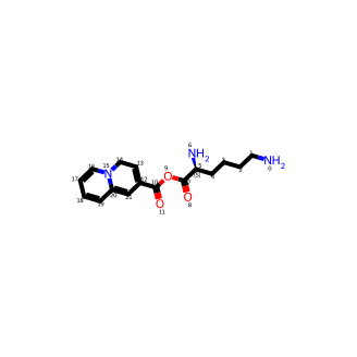 NCCCC[C@H](N)C(=O)OC(=O)C1=CCN2C=CC=CC2=C1